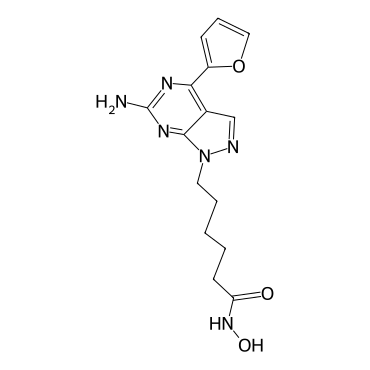 Nc1nc(-c2ccco2)c2cnn(CCCCCC(=O)NO)c2n1